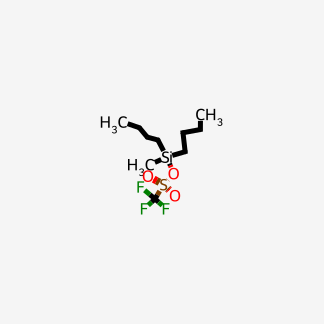 CCCC[Si](C)(CCCC)OS(=O)(=O)C(F)(F)F